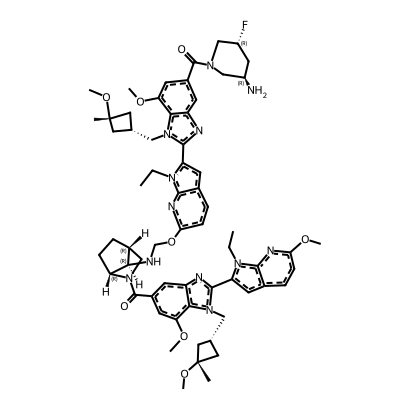 CCn1c(-c2nc3cc(C(=O)N4C[C@H]5CC[C@@H]4[C@@H]5NCOc4ccc5cc(-c6nc7cc(C(=O)N8C[C@H](N)C[C@@H](F)C8)cc(OC)c7n6C[C@H]6C[C@@](C)(OC)C6)n(CC)c5n4)cc(OC)c3n2C[C@H]2C[C@@](C)(OC)C2)cc2ccc(OC)nc21